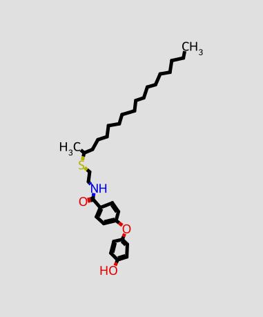 CCCCCCCCCCCCCCCCC(C)SCCNC(=O)c1ccc(Oc2ccc(O)cc2)cc1